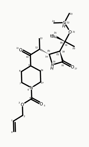 C=CCOC(=O)N1CCC(C(=O)C(C)[C@H]2NC(=O)[C@@H]2[C@@](C)(O[SiH](C)C)C(C)(C)C)CC1